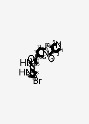 O=C(c1ccncc1F)N1CCC[C@H](C2=CN(c3cc(Br)c[nH]3)NO2)C1